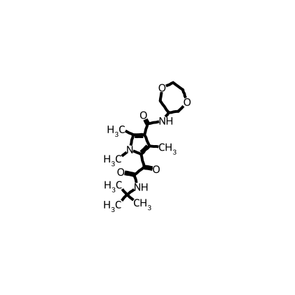 Cc1c(C(=O)NC2COCCOC2)c(C)n(C)c1C(=O)C(=O)NC(C)(C)C